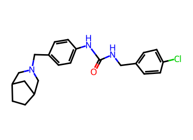 O=C(NCc1ccc(Cl)cc1)Nc1ccc(CN2CC3CCC(C3)C2)cc1